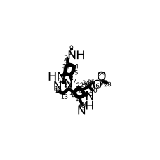 CNCc1ccc(C)c(Nc2nccc(-c3cc(C#N)c4c(c3)[C@@](C)(COC(C)=O)CN4)n2)c1